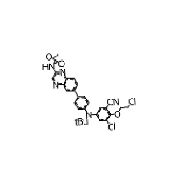 CC(C)(C)N(c1ccc(-c2ccc3nc(NS(C)(=O)=O)cnc3c2)cc1)c1cc(Cl)c(OCCCl)c(C#N)c1